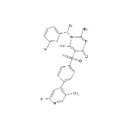 CCCCc1nc(=O)c(S(=O)(=O)c2ccc(-c3cc(F)ncc3C)cc2)c(O)n1C(CC)c1cccc(C#N)c1